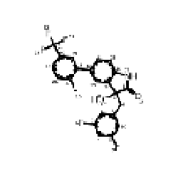 CC1(Cc2cc(F)cc(F)c2)C(=O)Nc2ccc(-c3cc(C(F)(F)F)ccc3F)cc21